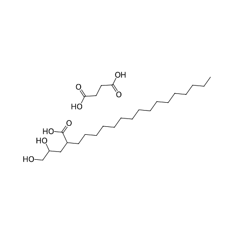 CCCCCCCCCCCCCCCCC(CC(O)CO)C(=O)O.O=C(O)CCC(=O)O